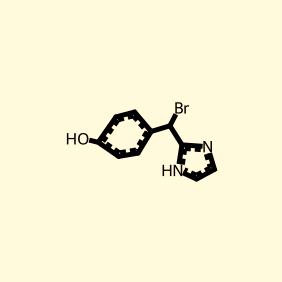 Oc1ccc(C(Br)c2ncc[nH]2)cc1